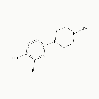 CCN1CCN(c2ccc(O)c(Br)n2)CC1